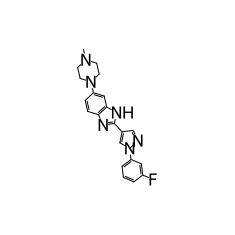 CN1CCN(c2ccc3nc(-c4cnn(-c5cccc(F)c5)c4)[nH]c3c2)CC1